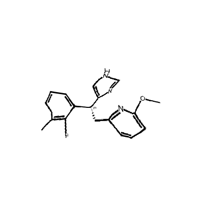 COc1cccc(C[C@@H](c2c[nH]cn2)c2cccc(C)c2F)n1